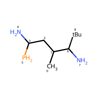 CC(CC(N)P)C(N)C(C)(C)C